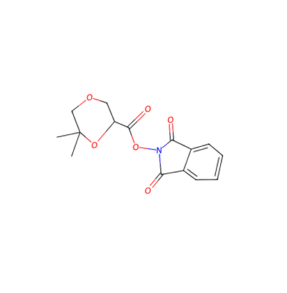 CC1(C)COCC(C(=O)ON2C(=O)c3ccccc3C2=O)O1